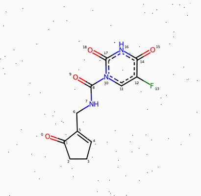 O=C1CCC=C1CNC(=O)n1cc(F)c(=O)[nH]c1=O